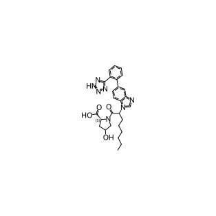 CCCCCCC(C(=O)N1CC(O)C[C@H]1C(=O)O)n1cnc2cc(-c3ccccc3-c3nn[nH]n3)ccc21